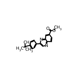 COC(=O)c1ccc2ncc(-c3ccc(C(C)(C)C)cc3)nc2c1